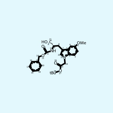 COc1ccc2c(c1)c(C[C@H](NC(=O)OCc1ccccc1)C(=O)O)cn2CC(=O)OC(C)(C)C